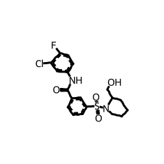 O=C(Nc1ccc(F)c(Cl)c1)c1cccc(S(=O)(=O)N2CCCCC2CO)c1